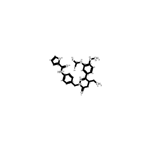 CCC1CC(=O)N(Cc2ccc(NC(=O)c3ccco3)cc2)N=C1c1ccc(OC)c(OC(F)F)c1